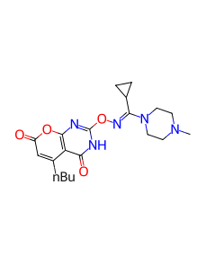 CCCCc1cc(=O)oc2nc(O/N=C(\C3CC3)N3CCN(C)CC3)[nH]c(=O)c12